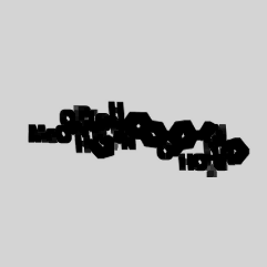 COC(=O)N[C@H](C(=O)N1CCC[C@H]1c1nc2c(ccc3cc4c(cc32)OCc2cc(-c3cnc([C@H]5CCCN5C(=O)O)[nH]3)ccc2-4)[nH]1)C(C)C